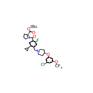 CC(C)(C)OC(=O)[C@@H]1CCCN1C(=O)c1cc(C2CC2)c(CN2CCC(Oc3cc(Cl)cc(OC(F)(F)F)c3)CC2)cc1F